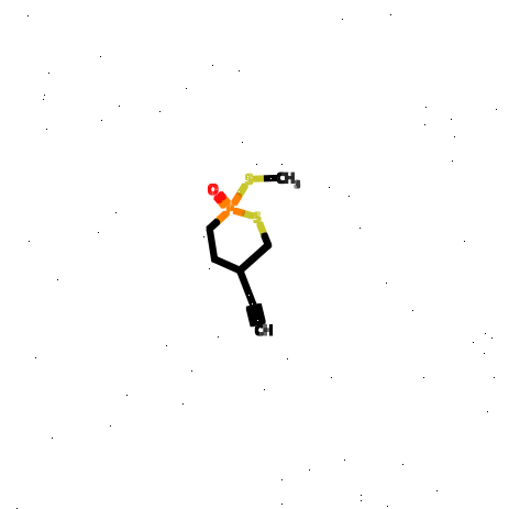 C#CC1CCP(=O)(SC)SC1